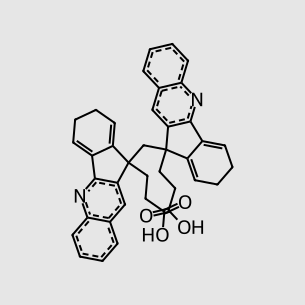 O=C(O)CCC1(CC2(CCC(=O)O)C3=CCCC=C3c3nc4ccccc4cc32)C2=CCCC=C2c2nc3ccccc3cc21